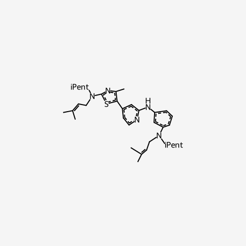 CCCC(C)N(CC=C(C)C)c1cccc(Nc2cc(-c3sc(N(CC=C(C)C)C(C)CCC)nc3C)ccn2)c1